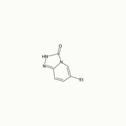 CCc1ccc2n[nH]c(=O)n2c1